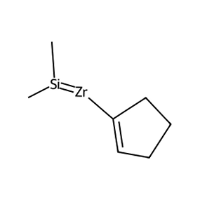 C[Si](C)=[Zr][C]1=CCCC1